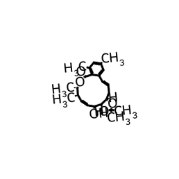 Cc1cc(C)c2c(c1)/C=C/C[C@@H]1OC(C)(C)O[C@@H]1C(O)/C=C\[C@@H](C)[C@H](C)OC2=O